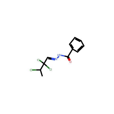 CC(Cl)C(Cl)(Cl)C=NNC(=O)c1ccccc1